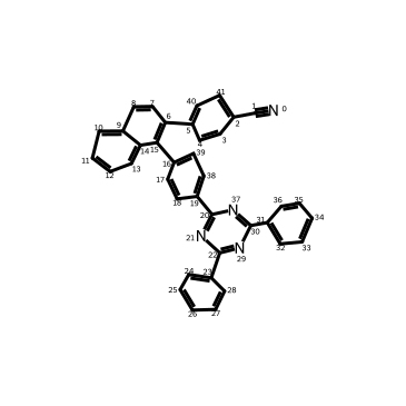 N#Cc1ccc(-c2ccc3ccccc3c2-c2ccc(-c3nc(-c4ccccc4)nc(-c4ccccc4)n3)cc2)cc1